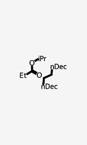 CCC(=O)OC(C)C.CCCCCCCCCCCCCCCCCCCCCC